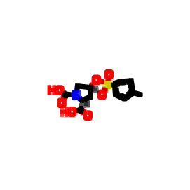 Cc1ccc(S(=O)(=O)O[C@H]2C[C@H](C(=O)O)N(C(=O)O)C2)cc1